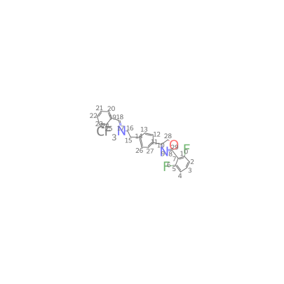 Fc1cccc(F)c1C1=NC(c2ccc(CC/N=C/c3ccccc3C(F)(F)F)cc2)CO1